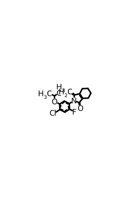 C=C1C2=C(CCCC2)C(=O)N1c1cc(OC(C)C)c(Cl)cc1F